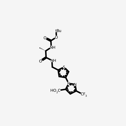 C[C@H](NC(=O)OC(C)(C)C)C(=O)NCc1cc(-n2nc(C(F)(F)F)cc2C(=O)O)cs1